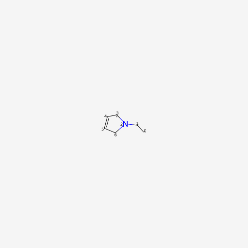 CCN1[CH]C=CC1